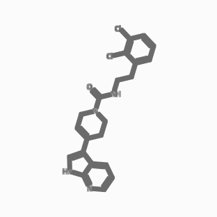 O=C(NCCc1cccc(Cl)c1Cl)N1CC=C(c2c[nH]c3ncccc23)CC1